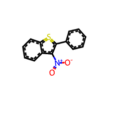 O=[N+]([O-])c1c(-c2ccccc2)sc2ccccc12